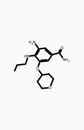 CCCNc1c(N)cc(C(N)=O)cc1OC1CCOCC1